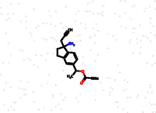 C#CCC1(N)CCc2cc(C(C)OC(=O)NC)ccc21